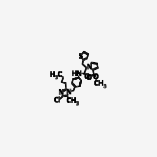 CCCCc1nc(Cl)c(C)n1Cc1ccc(NC(=O)C(Cc2cccs2)n2cccc2C(=O)OC)cc1